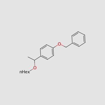 CCCCCCOC(C)c1ccc(OCc2ccccc2)cc1